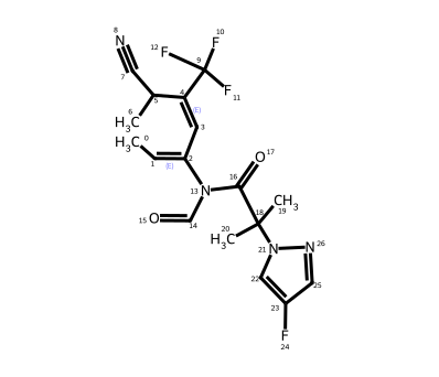 C/C=C(\C=C(/C(C)C#N)C(F)(F)F)N(C=O)C(=O)C(C)(C)n1cc(F)cn1